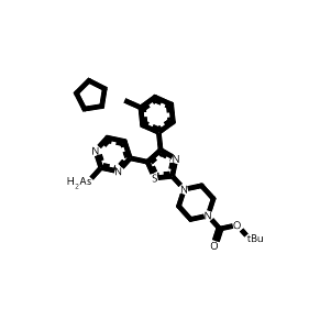 C1CCCC1.Cc1cccc(-c2nc(N3CCN(C(=O)OC(C)(C)C)CC3)sc2-c2ccnc([AsH2])n2)c1